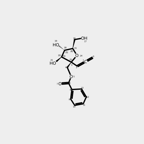 C=C=C[C@@]1(COC(=O)c2ccccc2)O[C@H](CO)[C@@H](O)[C@@H]1O